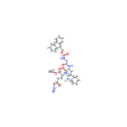 Cn1cc(C[C@H](NC(=O)CNC(=O)OCC2c3ccccc3-c3ccccc32)C(=O)N[C@@H](CCC(=O)C=[N+]=[N-])C(=O)OC(C)(C)C)c2ccccc21